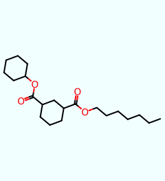 CCCCCCCOC(=O)C1CCCC(C(=O)OC2CCCCC2)C1